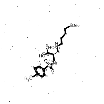 CCCCCCCCCCCCCCNC[C@H](NS(=O)(=O)c1ccc(C)cc1)[C@@H](O)C=O